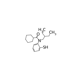 CCC(CC)CN(C(=O)C1CCCCC1)c1ccccc1S